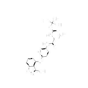 CC[C@@H](NC(=O)OC(C)(C)C)C(=O)Nc1ccc(Oc2cccc3onc(C)c23)nc1